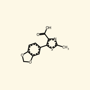 Cc1nc(C(=O)O)c(-c2ccc3c(c2)OCO3)s1